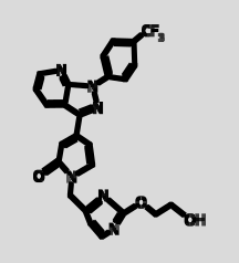 O=c1cc(-c2nn(-c3ccc(C(F)(F)F)cc3)c3ncccc23)ccn1Cc1ccnc(OCCO)n1